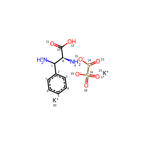 NC(c1ccccc1)[C@H](N)C(=O)O.O=S([O-])S(=O)(=O)[O-].[K+].[K+]